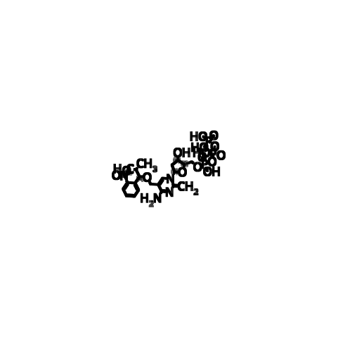 C=C1N=C(N)C(CO[C@@H](c2ccccc2[N+](=O)[O-])C(C)C)=CN1[C@H]1C[C@@H](O)[C@@H](COP(=O)(O)OP(=O)(O)OP(=O)(O)O)O1